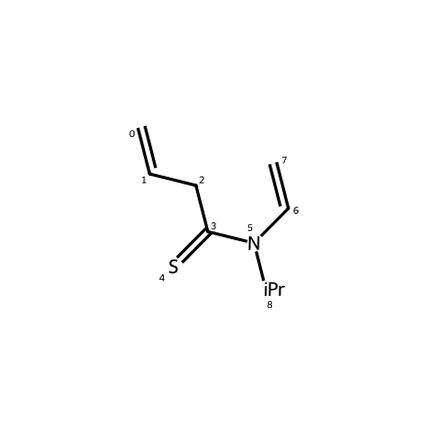 C=CCC(=S)N(C=C)C(C)C